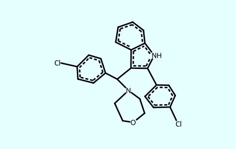 Clc1ccc(-c2[nH]c3ccccc3c2C(c2ccc(Cl)cc2)N2CCOCC2)cc1